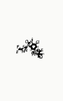 Cn1c(=O)n(-c2nnc(C(F)F)s2)c2cc(S(=O)(=O)NC3(CF)COC3)cc(Cl)c21